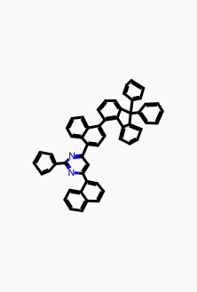 c1ccc(-c2nc(-c3cccc4ccccc34)cc(-c3ccc(-c4cccc5c4-c4ccccc4C5(c4ccccc4)c4ccccc4)c4ccccc34)n2)cc1